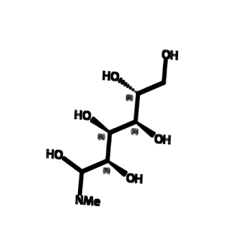 CNC(O)[C@H](O)[C@@H](O)[C@H](O)[C@H](O)CO